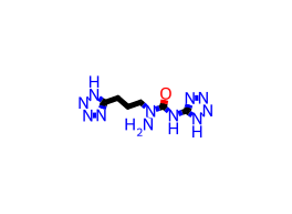 NN(CCCc1nnn[nH]1)C(=O)Nc1nnn[nH]1